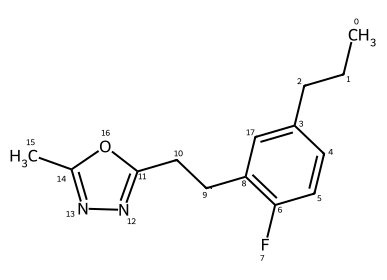 CCCc1ccc(F)c([CH]Cc2nnc(C)o2)c1